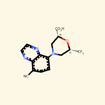 N#Cc1ccc(N2C[C@@H](C(F)(F)F)O[C@@H](C(=O)O)C2)c2nccnc12